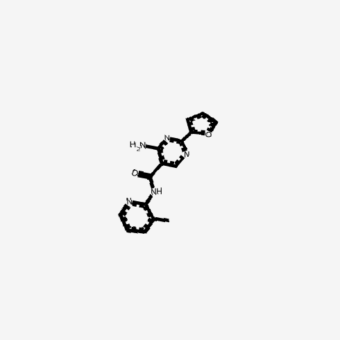 Cc1cccnc1NC(=O)c1cnc(-c2ccco2)nc1N